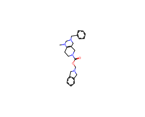 CN1CN(Cc2ccccc2)CC2=C1CCN(C(=O)OCN1Cc3ccccc3C1)C2